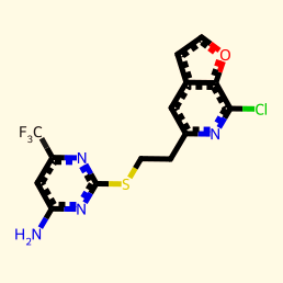 Nc1cc(C(F)(F)F)nc(SCCc2cc3ccoc3c(Cl)n2)n1